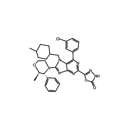 CC1CCC(Cn2c(N3CCO[C@H](C)[C@H]3c3ccccc3)nc3nc(-c4n[nH]c(=O)o4)nc(-c4cccc(Cl)c4)c32)CC1